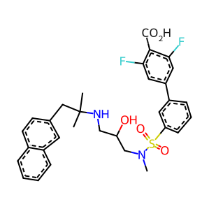 CN(CC(O)CNC(C)(C)Cc1ccc2ccccc2c1)S(=O)(=O)c1cccc(-c2cc(F)c(C(=O)O)c(F)c2)c1